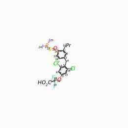 CC(C)c1cc(Cc2c(Cl)cc(OC(F)(F)C(=O)O)cc2Cl)ccc1OSP(I)I